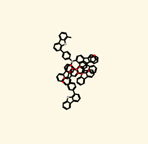 Cc1cccc2c1oc1c(-c3ccc(N(c4ccc(-c5ccccc5)cc4)c4ccc5c(c4)C4(c6ccccc6-c6ccc(-c7cccc(-c8ccccc8N(c8ccc(-c9cccc%10c9oc9ccccc9%10)cc8)c8ccc9c(c8)C8(c%10ccccc%10-c%10ccccc%108)c8cc(-c%10ccccc%10)ccc8-9)c7)cc64)c4ccccc4-5)cc3)cccc12